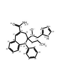 CCCC1([S+]([O-])Cc2nnc[nH]2)CC(C(N)=O)=Cc2ccccc2N1c1ccccc1